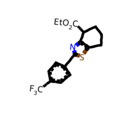 CCOC(=O)C1CCCc2sc(-c3ccc(C(F)(F)F)cc3)nc21